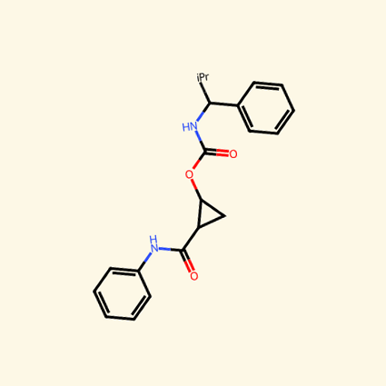 CC(C)C(NC(=O)OC1CC1C(=O)Nc1ccccc1)c1ccccc1